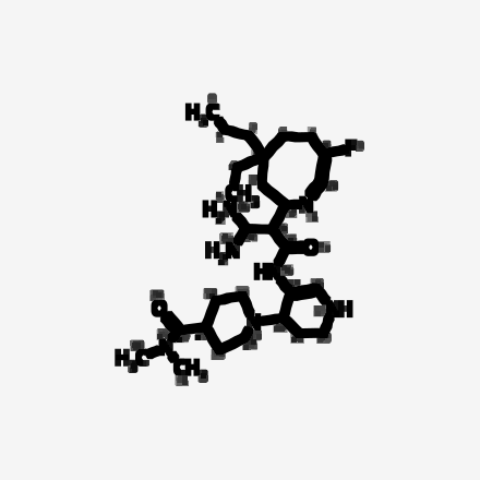 CCCC1(CC)CCC(F)=C=NC(C(C(=O)NC2=CNCCC2N2CCC(C(=O)N(C)C)CC2)C(N)N)C1